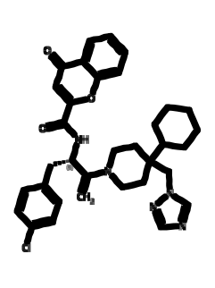 C=C([C@H](Cc1ccc(Cl)cc1)NC(=O)c1cc(=O)c2ccccc2o1)N1CCC(Cn2cncn2)(C2CCCCC2)CC1